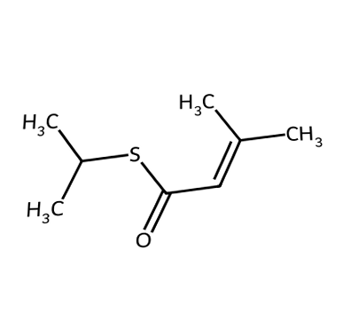 CC(C)=CC(=O)SC(C)C